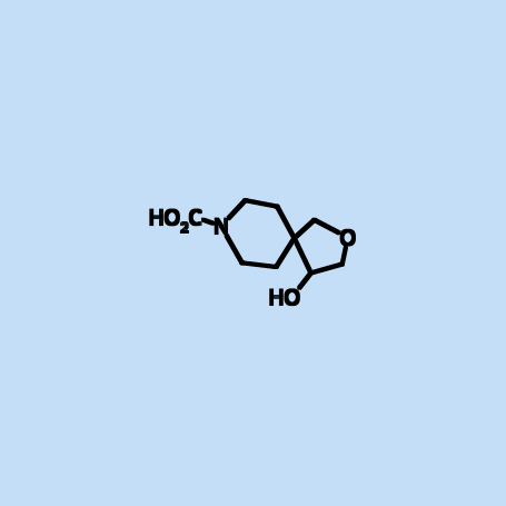 O=C(O)N1CCC2(CC1)COCC2O